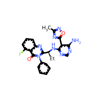 CC[C@H](Nc1ncnc(N)c1-c1nc(C)no1)c1nc2cccc(F)c2c(=O)n1-c1ccccc1